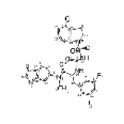 CN(C(=O)C(Cc1cc(F)cc(F)c1)NC(=O)NS(=O)(=O)N1CCc2c(Cl)ccnc21)c1ccc2scnc2c1